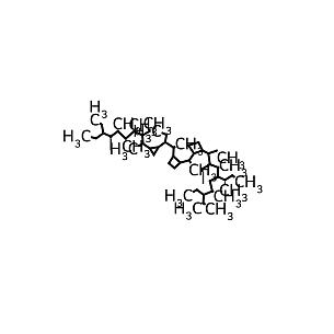 CCC(CC)C(I)C(C)C(C)C(C)C(CC)C(C)C1CC1C(CC)C(C)C1CCC1C(C)C1CCC1C(CC)C(CI)C(C)C(CC(C)C(CC)C(C)C)[C@@H](C)CC